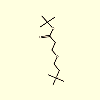 CC(C)(C)OC(=O)CCOCC[N+](C)(C)C